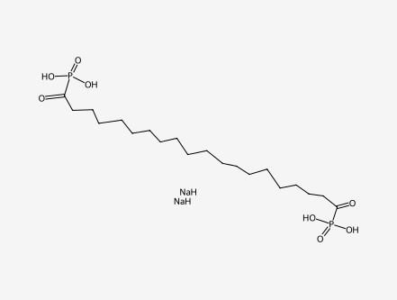 O=C(CCCCCCCCCCCCCCCCCCC(=O)P(=O)(O)O)P(=O)(O)O.[NaH].[NaH]